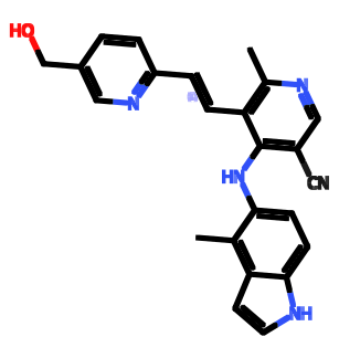 Cc1ncc(C#N)c(Nc2ccc3[nH]ccc3c2C)c1/C=C/c1ccc(CO)cn1